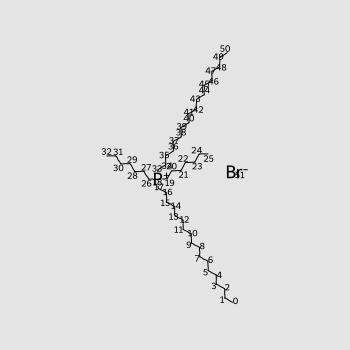 CCCCCCCCCCCCCCCCCC[P+](CCCCCCC)(CCCCCCC)CCCCCCCCCCCCCCCCCC.[Br-]